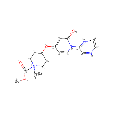 CC(C)OC(=O)[N+]1([C]=O)CCC(Oc2ccn(-c3cnccn3)c(=O)c2)CC1